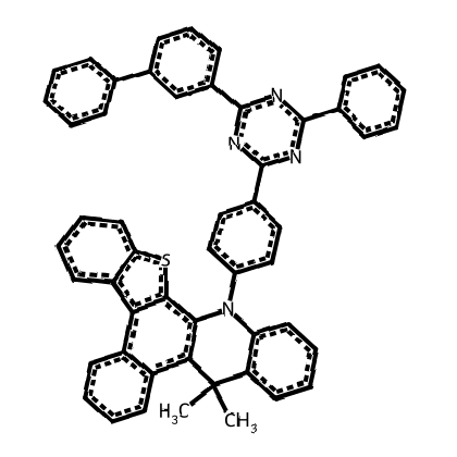 CC1(C)c2ccccc2N(c2ccc(-c3nc(-c4ccccc4)nc(-c4cccc(-c5ccccc5)c4)n3)cc2)c2c1c1ccccc1c1c2sc2ccccc21